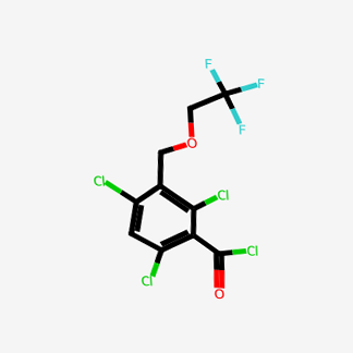 O=C(Cl)c1c(Cl)cc(Cl)c(COCC(F)(F)F)c1Cl